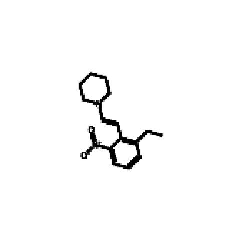 CCc1cccc([N+](=O)[O-])c1C=CN1CCCCC1